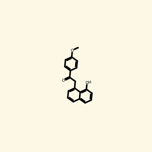 COc1ccc(C(=O)Cc2cccc3cccc(O)c23)cc1